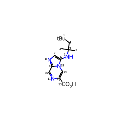 CC(C)(C)CC(C)(C)Nc1cnc2cnc(C(=O)O)cn12